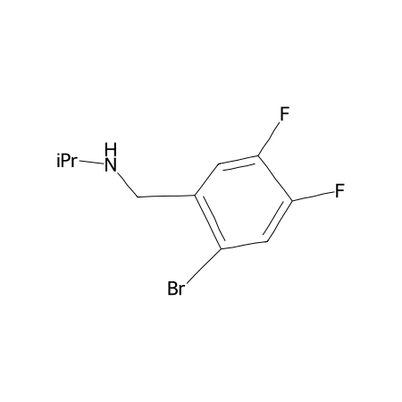 CC(C)NCc1cc(F)c(F)cc1Br